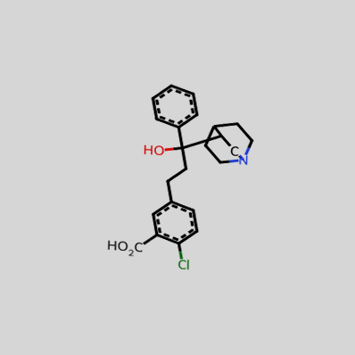 O=C(O)c1cc(CCC(O)(c2ccccc2)C2CN3CCC2CC3)ccc1Cl